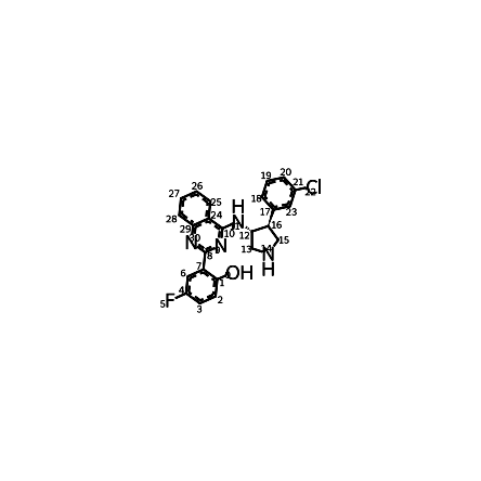 Oc1ccc(F)cc1-c1nc(N[C@H]2CNC[C@@H]2c2cccc(Cl)c2)c2ccccc2n1